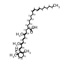 CCCCCC/C=C/C=C\CCCCCCC(C/C=C(C)/C=C/C=C(C)/C=C/C1=C(C)CCCC1(C)C)C(=O)O